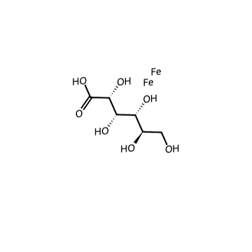 O=C(O)[C@H](O)[C@@H](O)[C@H](O)[C@H](O)CO.[Fe].[Fe]